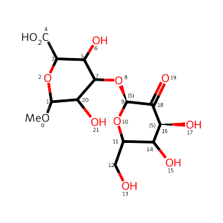 COC1OC(C(=O)O)C(O)C(O[C@@H]2OC(CO)C(O)[C@H](O)C2=O)C1O